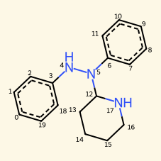 c1ccc(NN(c2ccccc2)C2CCCCN2)cc1